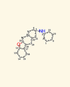 c1ccc(Nc2ccc3cc4oc5ccccc5c4cc3c2)cc1